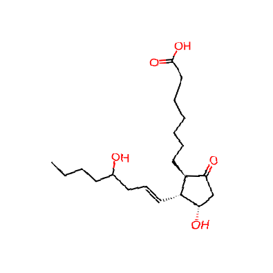 CCCCC(O)CC=C[C@H]1[C@@H](O)CC(=O)[C@@H]1CCCCCCC(=O)O